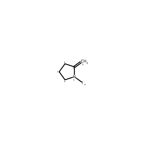 C=C1CCCN1I